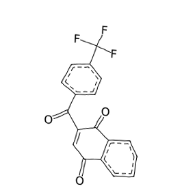 O=C(C1=CC(=O)c2ccccc2C1=O)c1ccc(C(F)(F)F)cc1